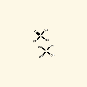 O=P(O)(O)O.[OH][Ti]([OH])([OH])[OH]